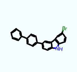 Brc1ccc2[nH]c3ccc(-c4ccc(-c5ccccc5)cc4)cc3c2c1